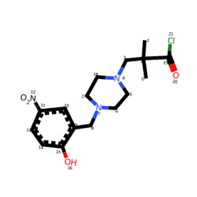 CC(C)(CN1CCN(Cc2cc([N+](=O)[O-])ccc2O)CC1)C(=O)Cl